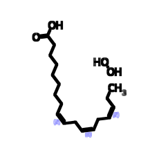 CC/C=C\C/C=C\C/C=C\CCCCCCCC(=O)O.OO